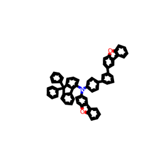 c1ccc(C2(c3ccccc3)c3ccccc3-c3c(N(c4ccc(-c5cccc(-c6ccc7oc8ccccc8c7c6)c5)cc4)c4ccc5oc6ccccc6c5c4)cccc32)cc1